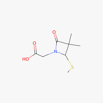 CSC1N(CC(=O)O)C(=O)C1(C)C